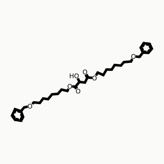 O=C(CC(O)C(=O)OCCCCCCCCOCc1ccccc1)OCCCCCCCCOCc1ccccc1